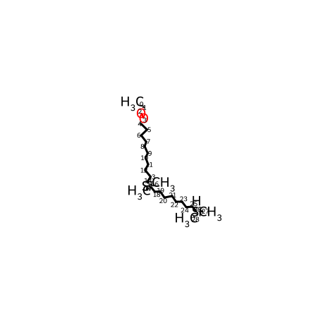 CCOOCCCCCCCCCCC[Si](C)(C)CCCCCCCC[SiH](C)C